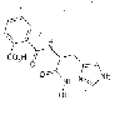 O=C(O)c1ccccc1C(=O)NC(Cc1c[nH]cn1)C(=O)NO